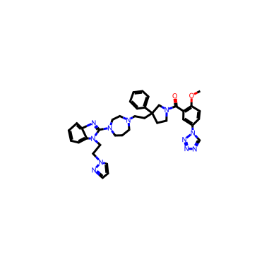 COc1ccc(-n2cnnn2)cc1C(=O)N1CCC(CCN2CCCN(c3nc4ccccc4n3CCn3cccn3)CC2)(c2ccccc2)C1